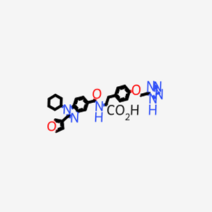 O=C(NC(Cc1ccc(OCc2nnn[nH]2)cc1)C(=O)O)c1ccc2c(c1)nc(-c1ccoc1)n2C1CCCCC1